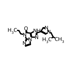 CCCn1c(=O)c2[nH]c(-c3cnn(CC(C)C)c3)nc2n2ccnc12